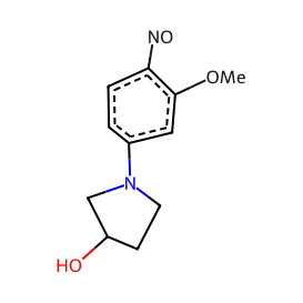 COc1cc(N2CCC(O)C2)ccc1N=O